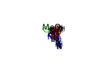 CCOc1ncccc1C1(OC(=O)N2CCC(N3CCN(C)CC3)CC2)C(=O)N(S(=O)(=O)c2ccccc2OC)c2ccc(Cl)cc21